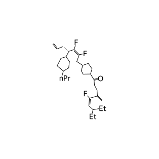 C=CC[C@H](/C(F)=C(/F)CC1CCC(C(=O)CCC(=C)/C(F)=C\C(CC)CC)CC1)C1CCC(CCC)CC1